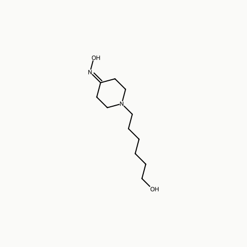 OCCCCCCN1CCC(=NO)CC1